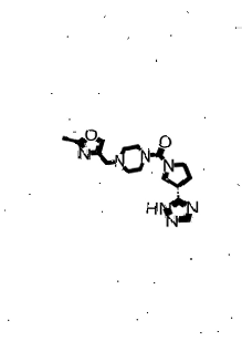 Cc1nc(CN2CCN(C(=O)N3CC[C@H](c4ncn[nH]4)C3)CC2)co1